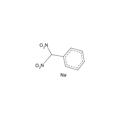 O=[N+]([O-])C(c1ccccc1)[N+](=O)[O-].[Na]